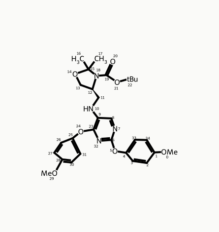 COc1ccc(Oc2ncc(NC[C@H]3COC(C)(C)N3C(=O)OC(C)(C)C)c(Oc3ccc(OC)cc3)n2)cc1